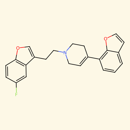 Fc1ccc2occ(CCN3CC=C(c4cccc5ccoc45)CC3)c2c1